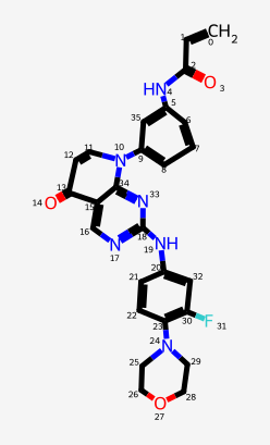 C=CC(=O)Nc1cccc(-n2ccc(=O)c3cnc(Nc4ccc(N5CCOCC5)c(F)c4)nc32)c1